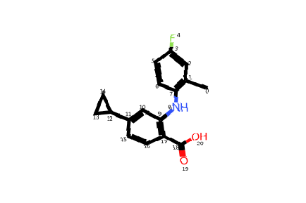 Cc1cc(F)ccc1Nc1cc(C2CC2)ccc1C(=O)O